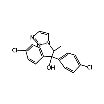 CC(n1ccnn1)C(O)(c1ccc(Cl)cc1)c1ccc(Cl)cc1